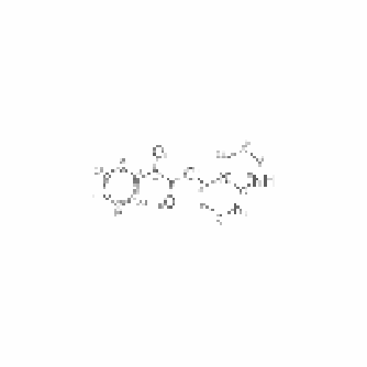 O=C(OC1CCN=C2NCCCN21)C(=O)c1ccccc1